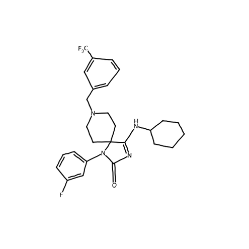 O=C1N=C(NC2CCCCC2)C2(CCN(Cc3cccc(C(F)(F)F)c3)CC2)N1c1cccc(F)c1